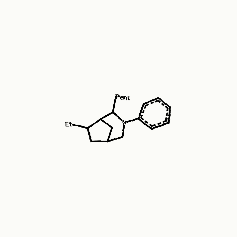 CCCC(C)C1C2CC(CC2CC)CN1c1ccccc1